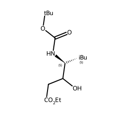 CCOC(=O)CC(O)[C@@H](NC(=O)OC(C)(C)C)[C@@H](C)CC